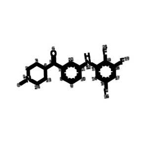 CN1CCC(C(=O)c2cccc(Nc3cc(F)cc(F)c3F)c2)CC1